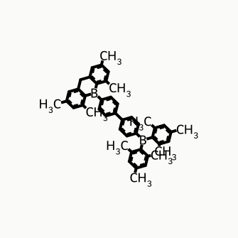 Cc1cc(C)c(B(c2ccc(-c3ccc(B4c5c(C)cc(C)cc5Cc5cc(C)cc(C)c54)cc3)cc2)c2c(C)cc(C)cc2C)c(C)c1